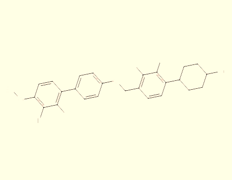 CCOc1ccc(-c2ccc(OCc3ccc(C4CCC(CC)CC4)c(F)c3F)cc2)c(F)c1F